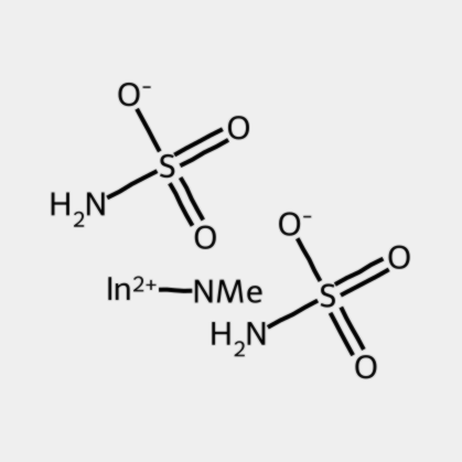 C[NH][In+2].NS(=O)(=O)[O-].NS(=O)(=O)[O-]